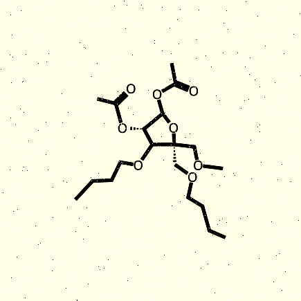 CCCCOC[C@@]1(COC)OC(OC(C)=O)[C@@H](OC(C)=O)C1OCCCC